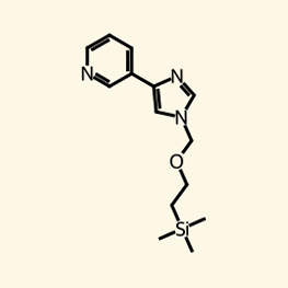 C[Si](C)(C)CCOCn1cnc(-c2cccnc2)c1